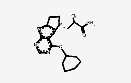 N#CC(C[C@H]1CCc2sc3ncnc(OC4CCCCC4)c3c21)C(N)=O